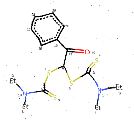 CCN(CC)C(=S)SC(SC(=S)N(CC)CC)C(=O)c1ccccc1